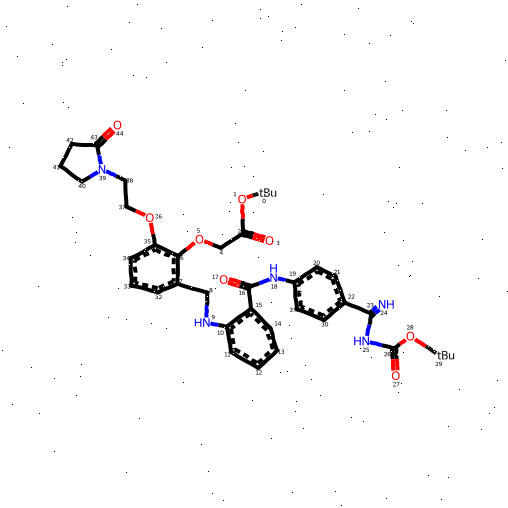 CC(C)(C)OC(=O)COc1c(CNc2ccccc2C(=O)Nc2ccc(C(=N)NC(=O)OC(C)(C)C)cc2)cccc1OCCN1CCCC1=O